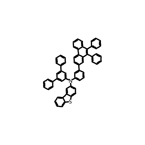 c1ccc(-c2cc(-c3ccccc3)cc(N(c3cccc(-c4ccc5c(c4)c(-c4ccccc4)c(-c4ccccc4)c4ccccc45)c3)c3ccc4sc5ccccc5c4c3)c2)cc1